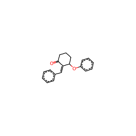 O=C1CCCC(Oc2ccccc2)C1=Cc1ccccc1